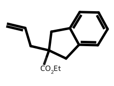 C=CCC1(C(=O)OCC)Cc2ccccc2C1